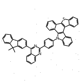 CC1(C)c2ccccc2-c2ccc(-c3nc(-c4ccc(-n5c6ccccc6c6c7c8ccccc8sc7c7ccccc7c65)cc4)nc4ccccc34)cc21